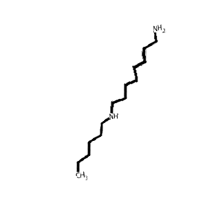 CCCCCCNCCCCCCCCN